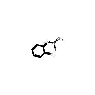 C=C1C=CC=C/C1=N/N(C)I